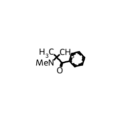 CNC(C)(C)C(=O)c1ccccc1